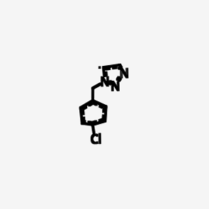 Clc1ccc(Cn2[c]cnn2)cc1